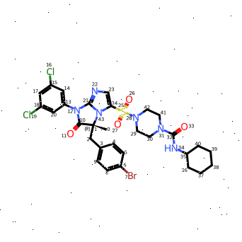 C[C@@]1(Cc2ccc(Br)cc2)C(=O)N(c2cc(Cl)cc(Cl)c2)c2ncc(S(=O)(=O)N3CCN(C(=O)NC4CCCCC4)CC3)n21